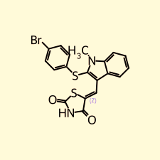 Cn1c(Sc2ccc(Br)cc2)c(/C=C2\SC(=O)NC2=O)c2ccccc21